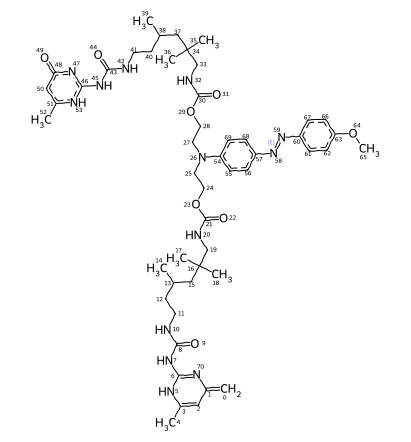 C=C1C=C(C)NC(NC(=O)NCCC(C)CC(C)(C)CNC(=O)OCCN(CCOC(=O)NCC(C)(C)CC(C)CCNC(=O)Nc2nc(=O)cc(C)[nH]2)c2ccc(/N=N/c3ccc(OC)cc3)cc2)=N1